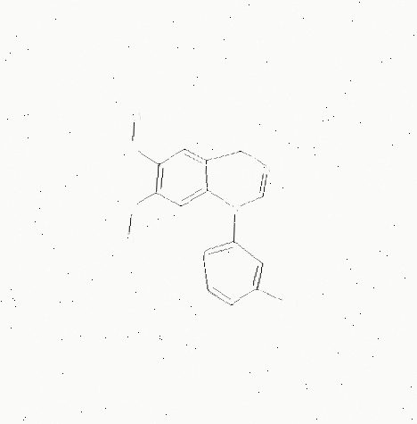 COc1cc2c(cc1OC)N(c1cccc(Cl)c1)C=NC2